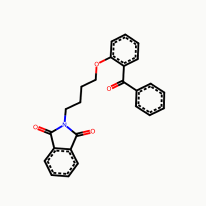 O=C(c1ccccc1)c1ccccc1OCCCCN1C(=O)c2ccccc2C1=O